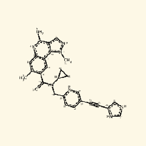 Cc1cc2nc(N)c3cnn(C)c3c2cc1C(=O)N(Cc1ccc(C#Cc2cscn2)cn1)C1CC1